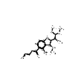 COC(SC)C(C)C1Oc2ccc(C(=O)CCC=O)c(O)c2C1OC